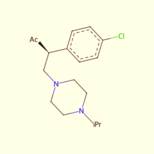 CC(=O)[C@H](CN1CCN(C(C)C)CC1)c1ccc(Cl)cc1